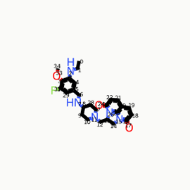 CCNc1cc(CNC2CCN(CC3Cn4c(=O)ccc5ccc(=O)n3c54)CC2)cc(F)c1OC